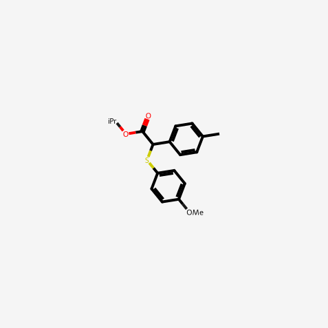 COc1ccc(SC(C(=O)OC(C)C)c2ccc(C)cc2)cc1